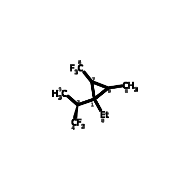 CCC1([C@H](C)C(F)(F)F)C(C)C1C(F)(F)F